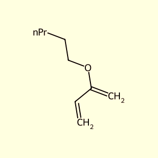 C=CC(=C)OCCCCC